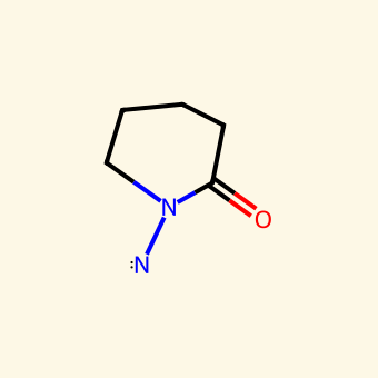 [N]N1CCCCC1=O